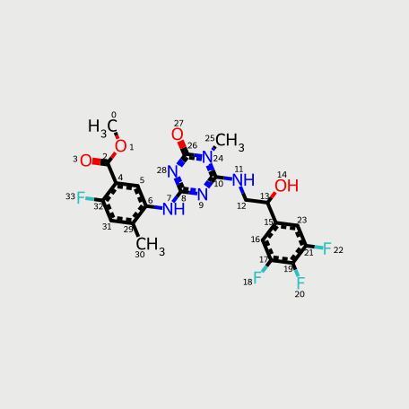 COC(=O)c1cc(Nc2nc(NCC(O)c3cc(F)c(F)c(F)c3)n(C)c(=O)n2)c(C)cc1F